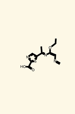 C=N/C=C(\N=C(/C)c1cnc(C(=O)O)s1)OCC